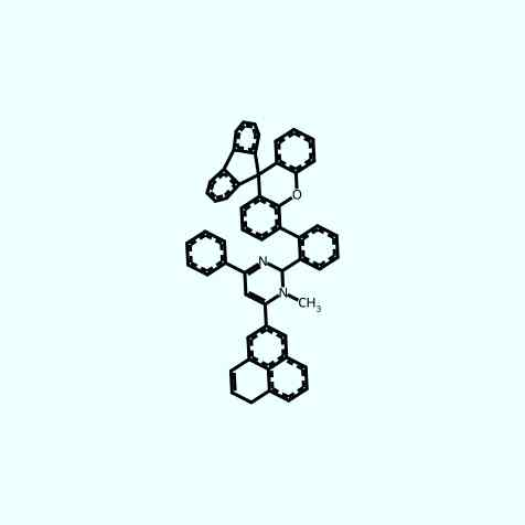 CN1C(c2cc3c4c(cccc4c2)CC=C3)=CC(c2ccccc2)=NC1c1ccccc1-c1cccc2c1Oc1ccccc1C21c2ccccc2-c2ccccc21